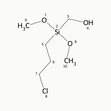 CO[Si](CO)(CCCCl)OC